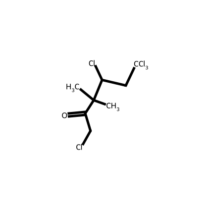 CC(C)(C(=O)CCl)C(Cl)CC(Cl)(Cl)Cl